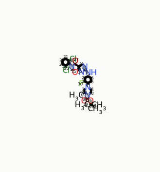 C[C@@H]1CN(c2ccc(Nc3ncc4c(n3)OCN(c3c(Cl)cccc3Cl)C4=O)cc2F)CCN1C(=O)OC(C)(C)C